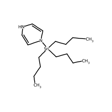 CCC[CH2][Sn]([CH2]CCC)([CH2]CCC)[N]1C=CNC=C1